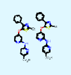 CCc1nc(-c2ccccc2)c(Oc2ccnc(Nc3ccc(C(=O)O)cn3)c2)s1.CCc1nc(-c2ccccc2)c(Oc2ccnc(Nc3ccc(C(=O)O)cn3)c2)s1